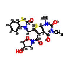 CCn1c(=O)n(C)c(=O)c2c(C(=O)N3CC(O)CO3)c(Cn3c(=O)sc4ccccc43)sc21